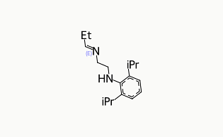 CC/C=N/CCNc1c(C(C)C)cccc1C(C)C